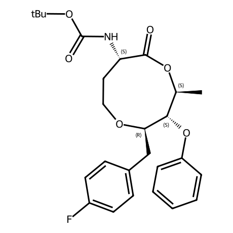 C[C@@H]1OC(=O)[C@@H](NC(=O)OC(C)(C)C)CCO[C@H](Cc2ccc(F)cc2)[C@H]1Oc1ccccc1